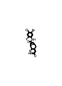 O=C(Nc1cc(Br)c(Cl)cc1F)N1C2CCC1c1n[nH]c(=O)cc1C2